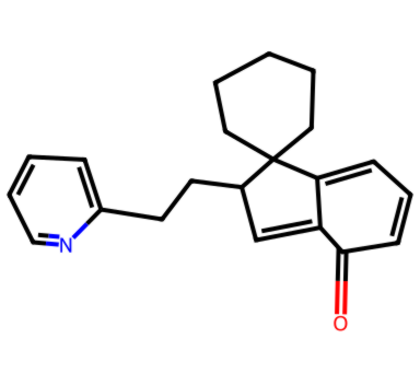 O=C1C=CC=C2C1=CC(CCc1ccccn1)C21CCCCC1